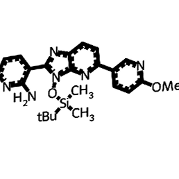 COc1ccc(-c2ccc3nc(-c4cccnc4N)n(O[Si](C)(C)C(C)(C)C)c3n2)cn1